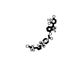 Cn1nc(C2CCC(=O)NC2=O)c2cccc(OCC(=O)N3CCN(S(=O)(=O)c4ccc(-c5nsc(Cl)n5)s4)CC3)c21